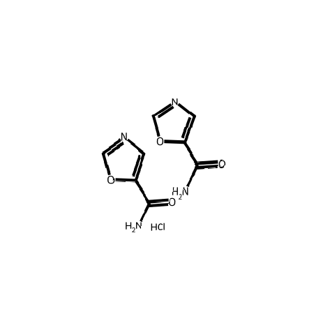 Cl.NC(=O)c1cnco1.NC(=O)c1cnco1